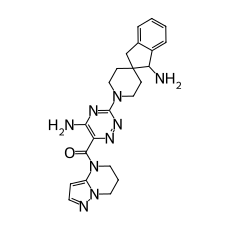 Nc1nc(N2CCC3(CC2)Cc2ccccc2C3N)nnc1C(=O)N1CCCn2nccc21